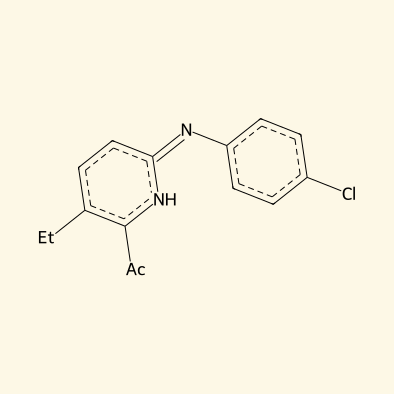 CCc1ccc(=Nc2ccc(Cl)cc2)[nH]c1C(C)=O